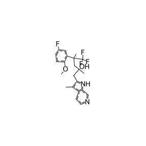 COc1ccc(F)cc1C(C)(CC(C)(O)Cc1[nH]c2cnccc2c1C)C(F)(F)F